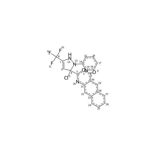 O=c1oc(C2(Cl)C=C(C(F)(F)F)NN2c2ccccn2)nc2cc3ccccc3cc12